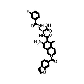 CC1C2=C(CC(N)C1C(=O)N[C@@H](CNC(=O)c1cccc(F)c1)C(=O)O)CN(C(=O)c1ccc3ccoc3c1)CC2